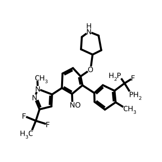 Cc1ccc(-c2c(OC3CCNCC3)ccc(-c3cc(C(C)(F)F)nn3C)c2N=O)cc1C(F)(P)P